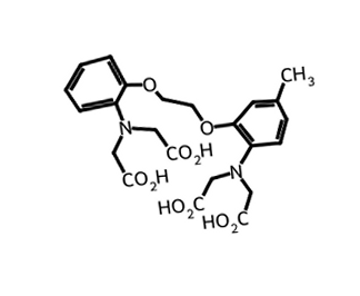 Cc1ccc(N(CC(=O)O)CC(=O)O)c(OCCOc2ccccc2N(CC(=O)O)CC(=O)O)c1